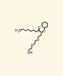 NCCCCCCC(=O)N(CCOCCOCCO)OC1CCCCC1